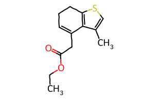 CCOC(=O)CC1=CCCc2scc(C)c21